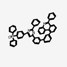 O=P(c1ccccc1)(c1ccccc1)c1ccc(-c2cc(-c3cccc(-c4cccc(-c5cccc6c(-c7ccccc7)nc7ccccc7c56)c4)c3)nc(-c3ccccc3)n2)cc1